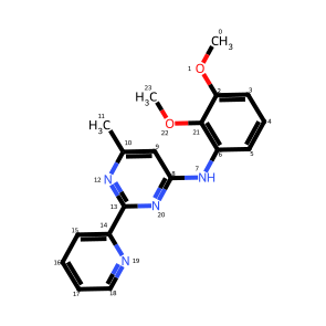 COc1cccc(Nc2cc(C)nc(-c3ccccn3)n2)c1OC